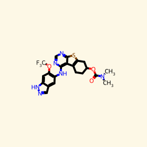 CN(C)C(=O)OC1CCc2c(sc3ncnc(Nc4cc5cn[nH]c5cc4OC(F)(F)F)c23)C1